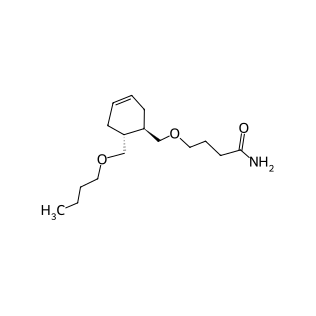 CCCCOC[C@@H]1CC=CC[C@H]1COCCCC(N)=O